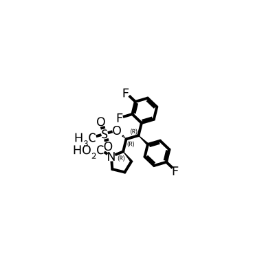 CS(=O)(=O)O[C@H]([C@H](c1ccc(F)cc1)c1cccc(F)c1F)[C@H]1CCCN1C(=O)O